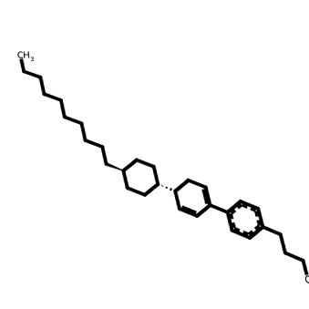 CCCCCCCCCC[C@H]1CC[C@H](C2C=CC(c3ccc(CCCC)cc3)=CC2)CC1